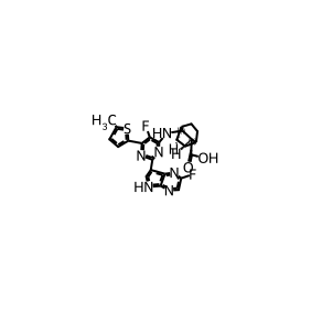 Cc1ccc(-c2nc(-c3c[nH]c4ncc(F)nc34)nc(N[C@H]3C4CCC(CC4)[C@@H]3C(=O)O)c2F)s1